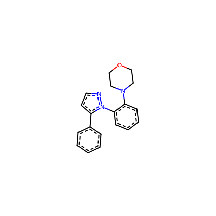 c1ccc(-c2ccnn2-c2ccccc2N2CCOCC2)cc1